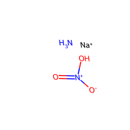 N.O=[N+]([O-])O.[Na+]